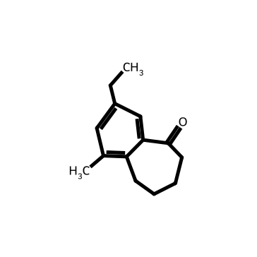 CCc1cc(C)c2c(c1)C(=O)CCCC2